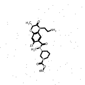 CCc1cc2c(cc1C(=O)N(C)[C@@H]1CCCN(C(=O)OC(C)(C)C)C1)N(CCN)C(=O)[C@@H](C)O2